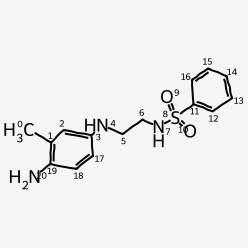 Cc1cc(NCCNS(=O)(=O)c2ccccc2)ccc1N